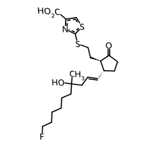 CC(O)(C/C=C/[C@H]1CCC(=O)[C@@H]1CCSc1nc(C(=O)O)cs1)CCCCCCF